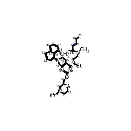 CCN(CCN(C)C(=O)/C=C/CF)c1nc(OCC2CN(C(C)C)CCO2)nc2c1CCN(c1cccc3cccc(C)c13)C2